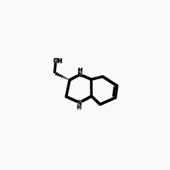 OC[C@H]1CNC2CC=CCC2N1